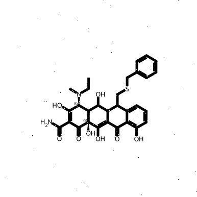 CCN(C)[C@@H]1C(O)=C(C(N)=O)C(=O)[C@@]2(O)C(O)=C3C(=O)c4c(O)cccc4C(CSCc4ccccc4)C3C(O)C12